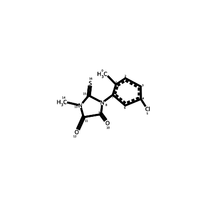 Cc1ccc(Cl)cc1N1C(=O)C(=O)N(C)C1=S